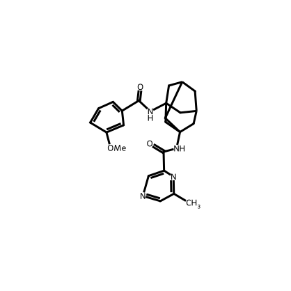 COc1cccc(C(=O)NC23CC4CC(C2)CC(NC(=O)c2cncc(C)n2)(C4)C3)c1